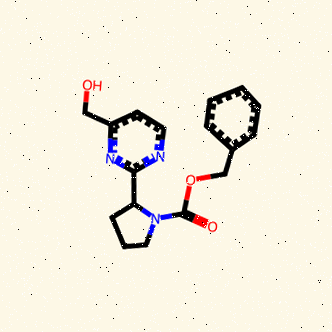 O=C(OCc1ccccc1)N1CCCC1c1nccc(CO)n1